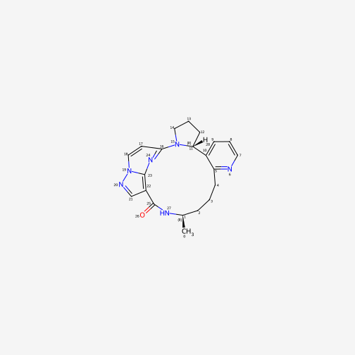 C[C@@H]1CCCc2ncccc2[C@H]2CCCN2c2ccn3ncc(c3n2)C(=O)N1